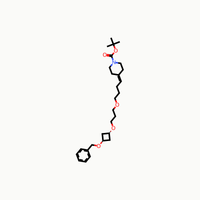 CC(C)(C)OC(=O)N1CCC(=CCCCOCCCO[C@H]2C[C@H](OCc3ccccc3)C2)CC1